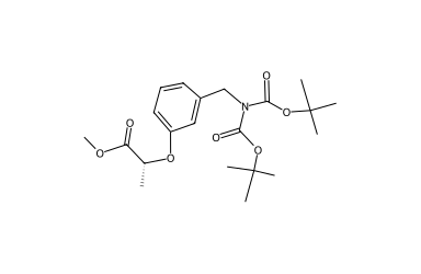 COC(=O)[C@@H](C)Oc1cccc(CN(C(=O)OC(C)(C)C)C(=O)OC(C)(C)C)c1